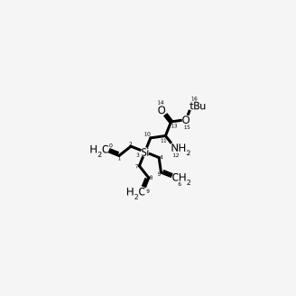 C=CC[Si](CC=C)(CC=C)CC(N)C(=O)OC(C)(C)C